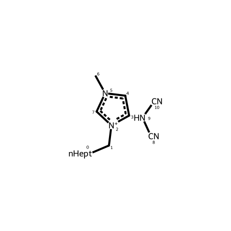 CCCCCCCC[n+]1ccn(C)c1.N#CNC#N